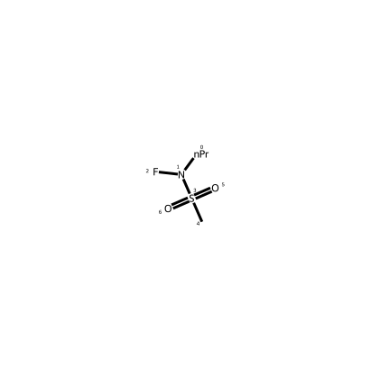 CCCN(F)S(C)(=O)=O